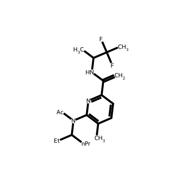 C=C(NC(C)C(C)(F)F)c1ccc(C)c(N(C(C)=O)C(CC)CCC)n1